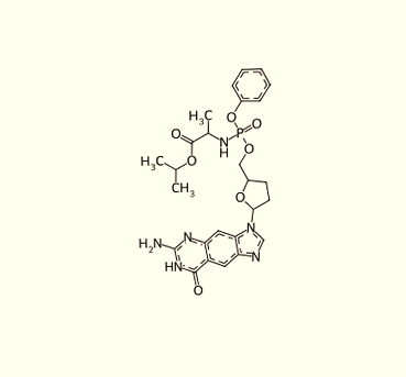 CC(C)OC(=O)C(C)NP(=O)(OCC1CCC(n2cnc3cc4c(=O)[nH]c(N)nc4cc32)O1)Oc1ccccc1